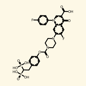 O=C(O)c1cn(-c2ccc(F)cc2)c2cc(N3CCN(C(=O)Oc4ccc(CC(P(=O)(O)O)P(=O)(O)O)cc4)CC3)c(F)cc2c1=O